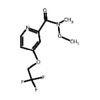 CON(C)C(=O)c1cc(OCC(F)(F)F)ccn1